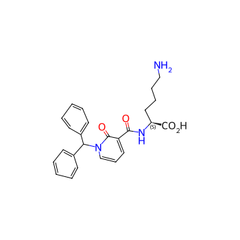 NCCCC[C@H](NC(=O)c1cccn(C(c2ccccc2)c2ccccc2)c1=O)C(=O)O